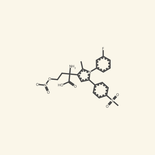 Cc1c(C(N)(CCO[N+](=O)[O-])C(=O)O)cc(-c2ccc(S(C)(=O)=O)cc2)n1-c1cccc(F)c1